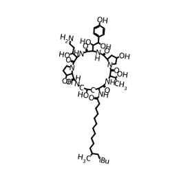 CCC(C)CC(C)CCCCCCCCCCC(=O)NC1CC(O)CNC(=O)C2C(O)CCN2C(=O)C(C(O)CCN)NC(=O)C(C(O)C(O)c2ccc(O)cc2)NC(=O)C2CC(O)CN2C(=O)C(C(C)O)NC1=O